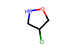 ClC1[CH]ONC1